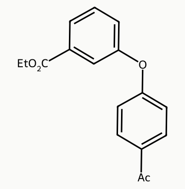 CCOC(=O)c1cccc(Oc2ccc(C(C)=O)cc2)c1